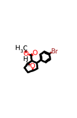 COC(=O)C1C(c2ccc(Br)cc2)CC2CC[C@@H]1O2